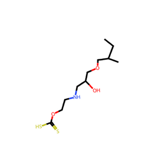 CCC(C)COCC(O)CNCCOC(=S)S